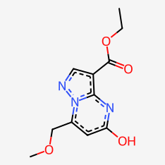 CCOC(=O)c1cnn2c(COC)cc(O)nc12